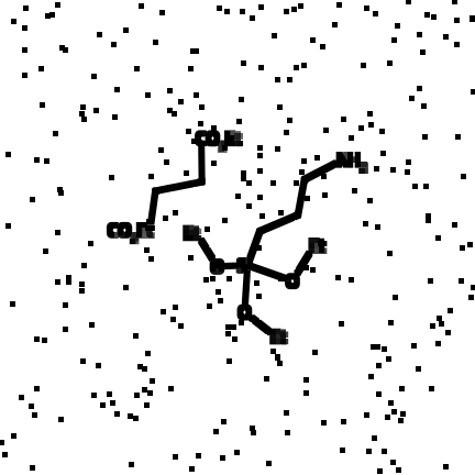 CCOC(=O)CCC(=O)OCC.CCO[Si](CCCN)(OCC)OCC